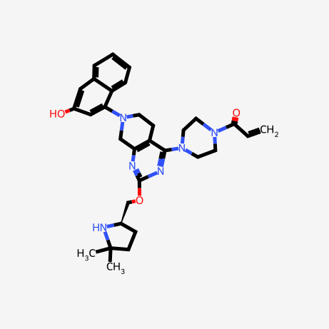 C=CC(=O)N1CCN(c2nc(OC[C@H]3CCC(C)(C)N3)nc3c2CCN(c2cc(O)cc4ccccc24)C3)CC1